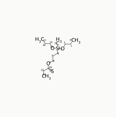 CCCO[Si](C)(CCCOC(=S)CC)OCCC